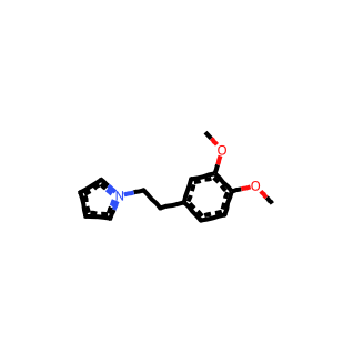 COc1ccc(CCn2cccc2)cc1OC